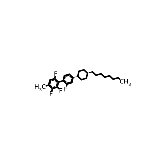 CCCCCCCC[C@H]1CC[C@H](c2ccc(-c3c(F)cc(C)c(F)c3F)c(F)c2)CC1